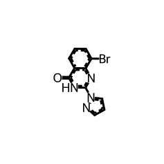 O=c1[nH]c(-n2cccn2)nc2c(Br)cccc12